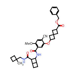 COc1cc(C#N)c(OC2CC3(C2)CC(C(=O)OCc2ccccc2)C3)cc1C(=O)NC1C2CCC2C1C(=O)NCC1(C)CCC1